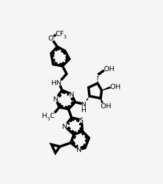 Cc1nc(NCc2ccc(OC(F)(F)F)cc2)nc(N[C@@H]2C[C@H](CO)[C@@H](O)[C@H]2O)c1-c1nc2c(C3CC3)nccc2s1